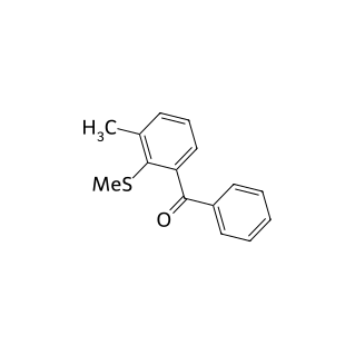 CSc1c(C)cccc1C(=O)c1ccccc1